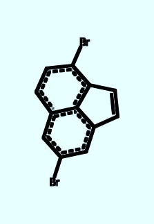 Brc1cc2c3c(c(Br)ccc3c1)C=C2